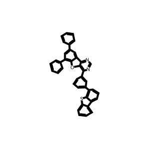 c1ccc(-c2cc(-c3ccccc3)c3oc4c(-c5cccc(-c6cccc7c6sc6ccccc67)c5)ncnc4c3c2)cc1